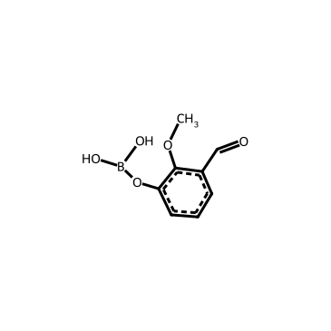 COc1c(C=O)cccc1OB(O)O